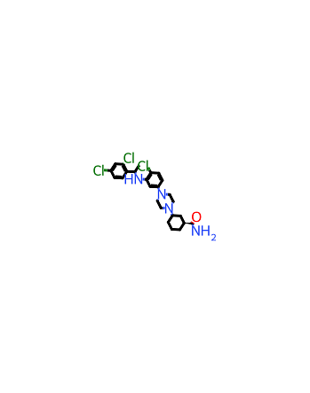 CC(Nc1cc(N2CCN(C3CCC[C@H](C(N)=O)C3)CC2)ccc1Cl)c1ccc(Cl)cc1Cl